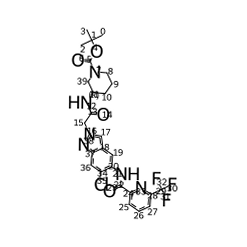 CC(C)(C)OC(=O)N1CCC[C@@H](NC(=O)Cn2cc3cc(NC(=O)c4cccc(C(F)(F)F)n4)c(Cl)cc3n2)C1